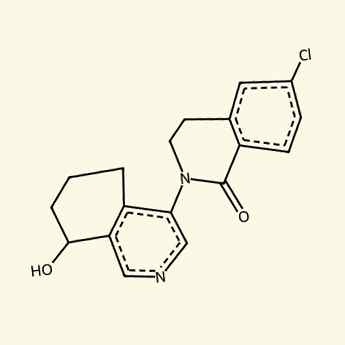 O=C1c2ccc(Cl)cc2CCN1c1cncc2c1CCCC2O